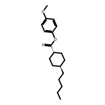 CCCCC[C@H]1CC[C@H](C(=O)Oc2ccc(OC)cc2)CC1